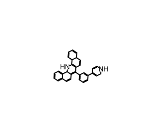 C1=CC2C=CC3=C(NC4C(=C3c3cccc(C5=CCNC=C5)c3)C=Cc3ccccc34)C2C=C1